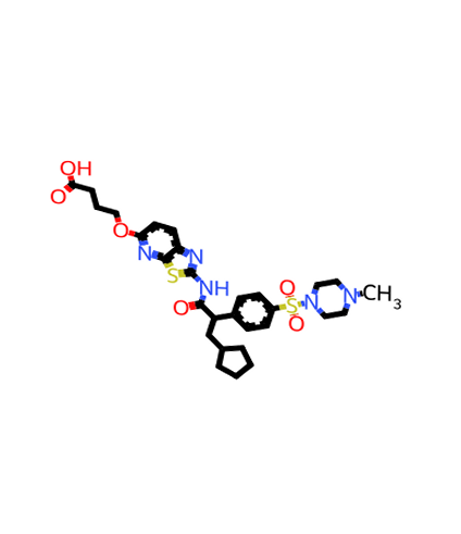 CN1CCN(S(=O)(=O)c2ccc(C(CC3CCCC3)C(=O)Nc3nc4ccc(OCCCC(=O)O)nc4s3)cc2)CC1